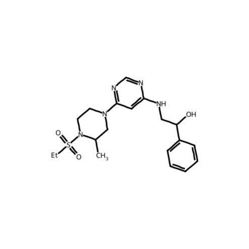 CCS(=O)(=O)N1CCN(c2cc(NCC(O)c3ccccc3)ncn2)CC1C